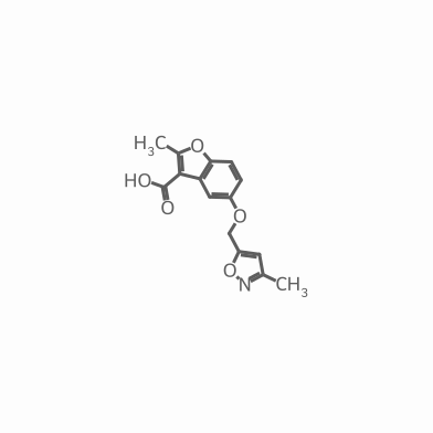 Cc1cc(COc2ccc3oc(C)c(C(=O)O)c3c2)on1